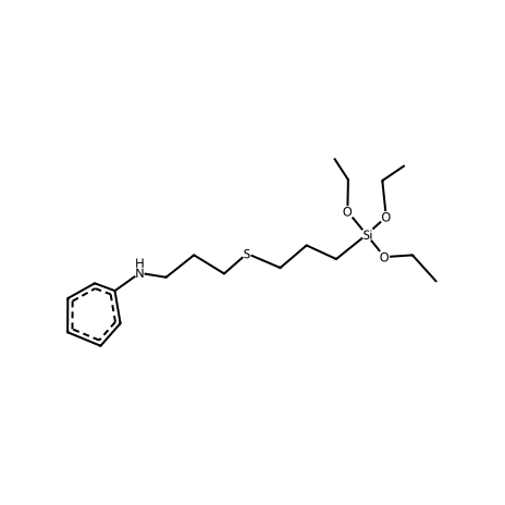 CCO[Si](CCCSCCCNc1ccccc1)(OCC)OCC